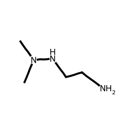 CN(C)NCCN